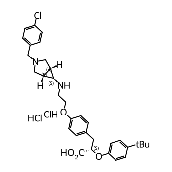 CC(C)(C)c1ccc(O[C@@H](Cc2ccc(OCCN[C@H]3[C@@H]4CN(Cc5ccc(Cl)cc5)C[C@@H]43)cc2)C(=O)O)cc1.Cl.Cl